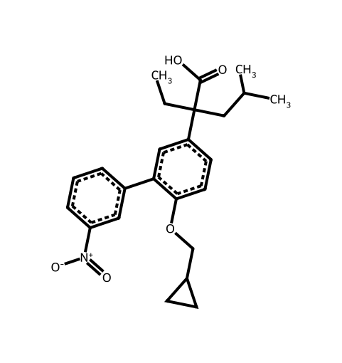 CCC(CC(C)C)(C(=O)O)c1ccc(OCC2CC2)c(-c2cccc([N+](=O)[O-])c2)c1